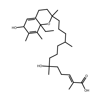 CCC12OC(C)(CCCC(C)CCCC(C)(O)CC/C=C(\C)C(=O)O)CCC1=CC(O)C(C)=C2C